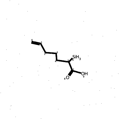 C=CCCCC([SiH3])C(=O)O